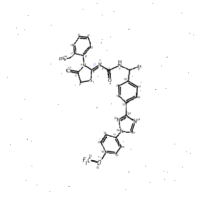 CCC(NC(=O)/N=C1\SCC(=O)N1c1ccccc1C(C)C)c1ccc(-c2ncn(-c3ccc(OC(F)(F)F)cc3)n2)cc1